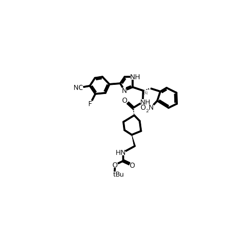 CC(C)(C)OC(=O)NC[C@H]1CC[C@H](C(=O)N[C@@H](Cc2ccccc2[N+](=O)[O-])c2nc(-c3ccc(C#N)c(F)c3)c[nH]2)CC1